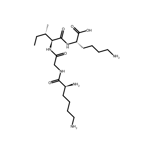 CC[C@H](C)[C@H](NC(=O)CNC(=O)[C@@H](N)CCCCN)C(=O)N[C@@H](CCCCN)C(=O)O